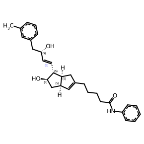 Cc1cccc(C[C@H](O)/C=C/[C@@H]2[C@H]3CC(CCCCC(=O)Nc4ccccc4)=C[C@H]3C[C@H]2O)c1